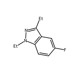 CCc1nn(CC)c2ccc(F)cc12